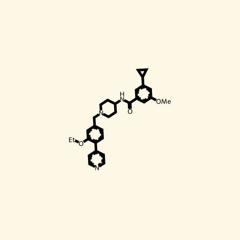 CCOc1cc(CN2CCC(NC(=O)c3cc(OC)cc(C4CC4)c3)CC2)ccc1-c1ccncc1